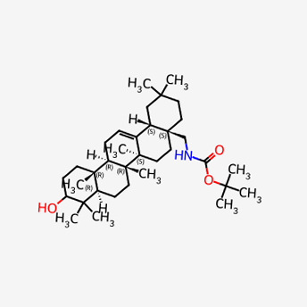 CC1(C)CC[C@]2(CNC(=O)OC(C)(C)C)CC[C@]3(C)C(=CC[C@@H]4[C@@]5(C)CCC(O)C(C)(C)[C@@H]5CC[C@]43C)[C@@H]2C1